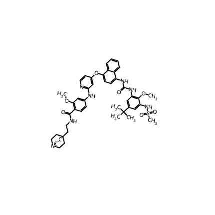 COc1cc(Nc2cc(Oc3ccc(NC(=O)Nc4cc(C(C)(C)C)cc(NS(C)(=O)=O)c4OC)c4ccccc34)ccn2)ccc1C(=O)NCCC12CCN(CC1)CC2